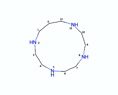 C1CNCCNCCNCCNC1